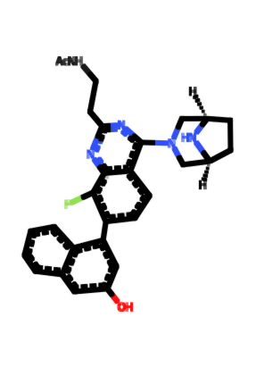 CC(=O)NCCc1nc(N2C[C@H]3CC[C@@H](C2)N3)c2ccc(-c3cc(O)cc4ccccc34)c(F)c2n1